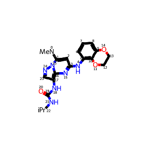 CNc1cc(Nc2cccc3c2OCCO3)nc2c(NC(=O)NC(C)C)cnn12